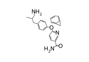 CC(CN)Cc1ccc(Oc2ccc(C(N)=O)cn2)cc1.c1ccc2c(c1)C2